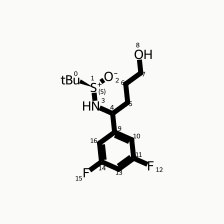 CC(C)(C)[S@@+]([O-])NC(CCCO)c1cc(F)cc(F)c1